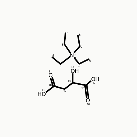 CC[N+](CC)(CC)CC.O=C(O)CC(O)C(=O)O